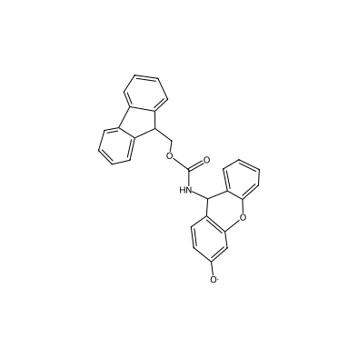 [O]c1ccc2c(c1)Oc1ccccc1C2NC(=O)OCC1c2ccccc2-c2ccccc21